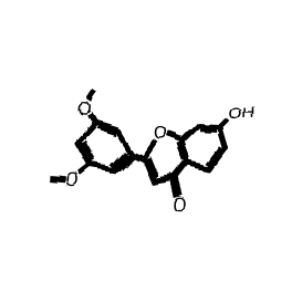 COc1cc(OC)cc(-c2cc(=O)c3ccc(O)cc3o2)c1